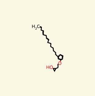 C=CC/C=C/C/C=C/CCCCCCCc1cccc(OCCC2CC2O)c1